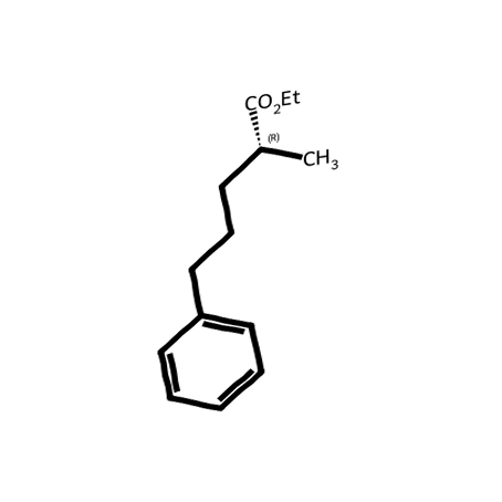 CCOC(=O)[C@H](C)CCCc1ccccc1